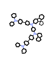 c1ccc(N(c2ccccc2)c2ccc(-c3ccc(N(c4ccc(N(c5ccc(-c6ccc(N(c7ccccc7)c7ccccc7)cc6)cc5)c5cccc6ccccc56)cc4)c4ccc5c(c4)C4(CCCC4)c4ccccc4-5)cc3)cc2)cc1